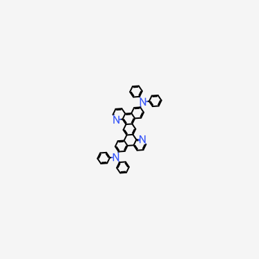 c1ccc(N(c2ccccc2)c2ccc3c(c2)c2cccnc2c2cc4c5ccc(N(c6ccccc6)c6ccccc6)cc5c5cccnc5c4cc32)cc1